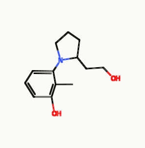 Cc1c(O)cccc1N1CCCC1CCO